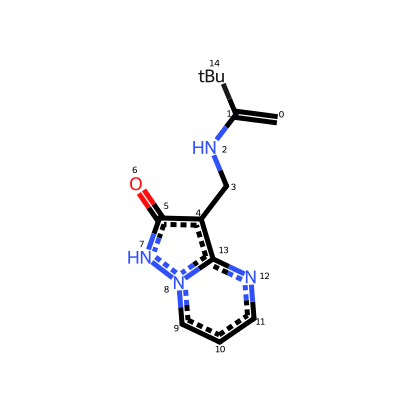 C=C(NCc1c(=O)[nH]n2cccnc12)C(C)(C)C